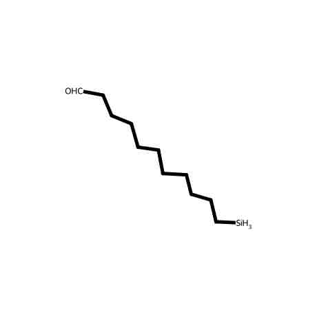 O=CCCCCCCCCCC[SiH3]